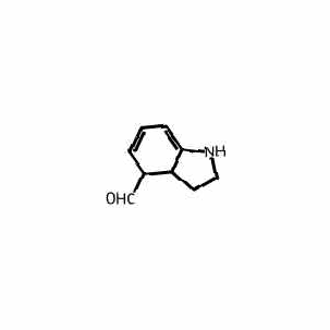 O=CC1C=CC=C2NCCC21